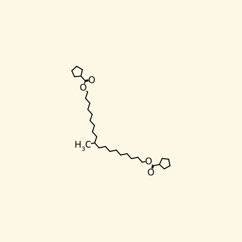 CC(CCCCCCCCCOC(=O)C1CCCC1)CCCCCCCCCOC(=O)C1CCCC1